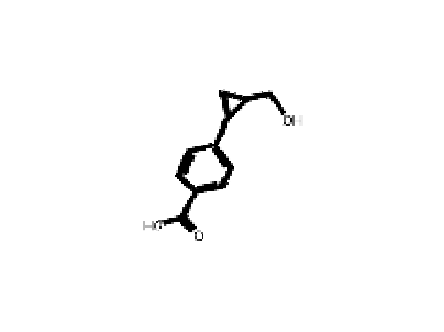 O=C(O)c1ccc(C2CC2CO)cc1